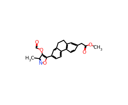 COC(=O)Cc1ccc2c(c1)CCc1cc(-c3onc(C)c3OC=O)ccc1-2